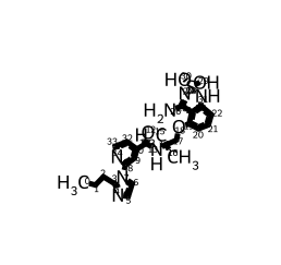 CCCc1nccn1-c1cc(C(=O)NC(C)(C)COc2cccc3c2C(N)=NS(O)(O)N3)ccn1